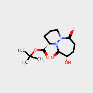 CC(C)(C)OC(=O)[C@@H]1CCCN2C(=O)CC[C@H](O)C(=O)N12